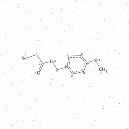 [2H]CC(=O)OCc1ccc(SC)cc1